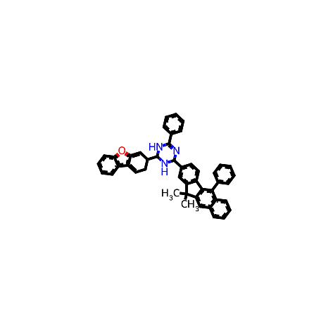 CC1(C)c2cc(C3N=C(c4ccccc4)NC(C4C=c5oc6ccccc6c5=CC4)N3)ccc2-c2c1cc1ccccc1c2-c1ccccc1